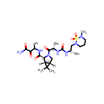 CCCC(NC(=O)[C@@H]1[C@@H]2[C@H](CN1C(=O)[C@@H](NC(=O)N[C@H](CN1CCCN(C)S1(=O)=O)C(C)(C)C)C(C)(C)C)C2(C)C)C(=O)C(N)=O